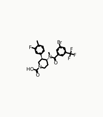 Cc1ccc([C@@H]2CN(C(=O)O)CC[C@H]2N(C)C(=O)c2cc(Br)cc(C(F)(F)F)c2)cc1F